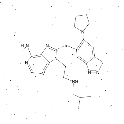 CC(C)CNCCn1c(Sc2cc3c(cc2N2CCCC2)CN=N3)nc2c(N)ncnc21